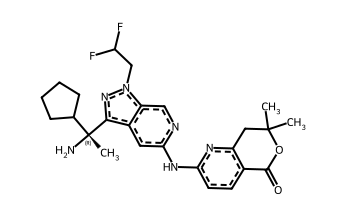 CC1(C)Cc2nc(Nc3cc4c([C@](C)(N)C5CCCC5)nn(CC(F)F)c4cn3)ccc2C(=O)O1